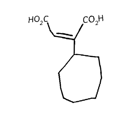 O=C(O)C=C(C(=O)O)C1CCCCCC1